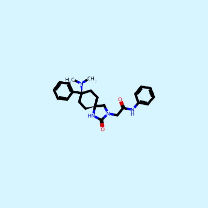 CN(C)[C@]1(c2ccccc2)CC[C@@]2(CC1)CN(CC(=O)Nc1ccccc1)C(=O)N2